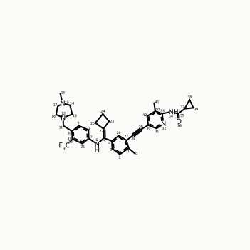 Cc1ccc(C(Nc2ccc(CN3CCN(C)CC3)c(C(F)(F)F)c2)=C2CCC2)cc1C#Cc1cnc(NC(=O)C2CC2)c(C)c1